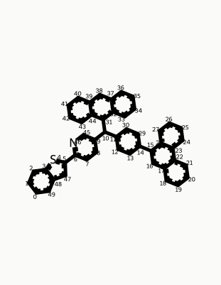 c1ccc2sc(-c3ccc(C(c4ccc(-c5cc6ccccc6c6ccccc56)cc4)c4c5ccccc5cc5ccccc45)cn3)cc2c1